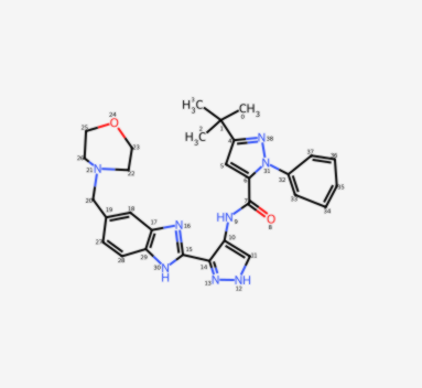 CC(C)(C)c1cc(C(=O)Nc2c[nH]nc2-c2nc3cc(CN4CCOCC4)ccc3[nH]2)n(-c2ccccc2)n1